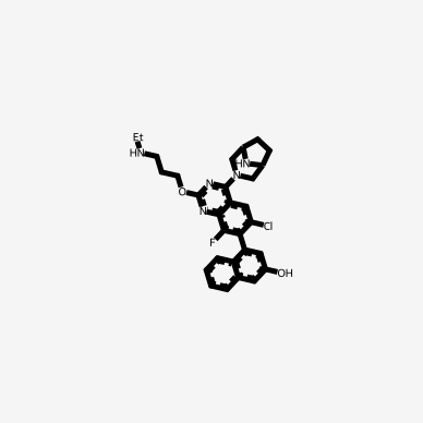 CCNCCCOc1nc(N2CC3CCC(C2)N3)c2cc(Cl)c(-c3cc(O)cc4ccccc34)c(F)c2n1